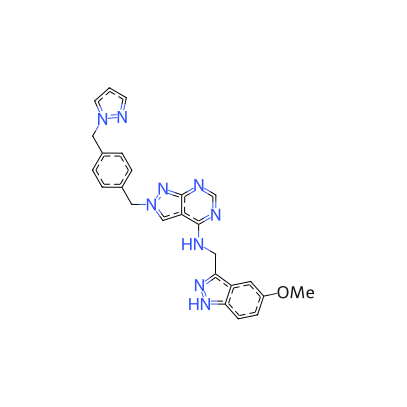 COc1ccc2[nH]nc(CNc3ncnc4nn(Cc5ccc(Cn6cccn6)cc5)cc34)c2c1